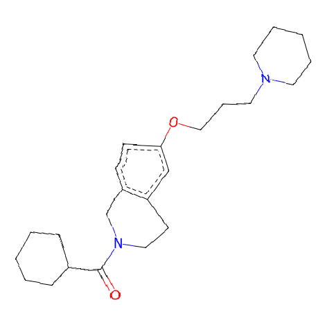 O=C(C1CCCCC1)N1CCc2cc(OCCCN3CCCCC3)ccc2C1